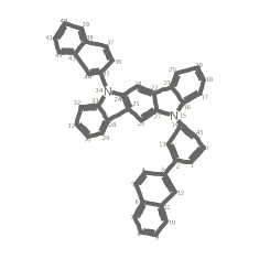 c1cc(-c2ccc3ccccc3c2)cc(-n2c3ccccc3c3cc4c(cc32)c2ccccc2n4-c2ccc3ccccc3c2)c1